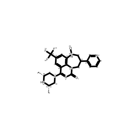 C[C@@H]1CN(c2nc(=O)n3c4c(cc(C(F)(F)F)cc24)[SH](Cl)CC(c2cccnc2)C3)C[C@H](C)N1